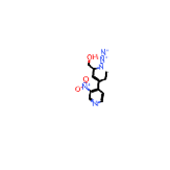 CCC(=CC(CO)N=[N+]=[N-])c1ccncc1[N+](=O)[O-]